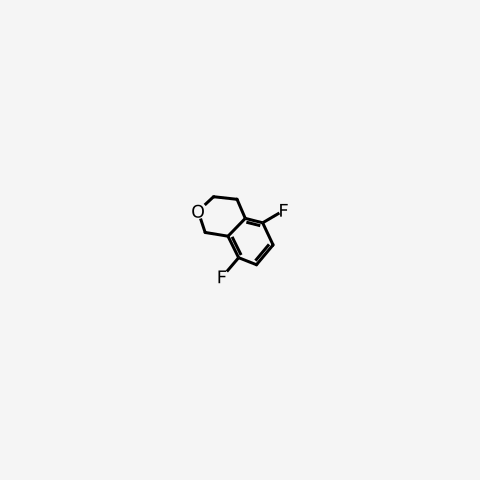 Fc1ccc(F)c2c1CCOC2